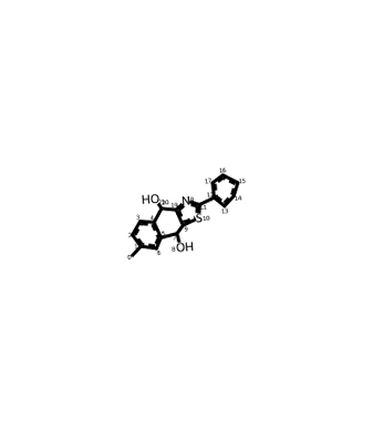 Cc1ccc2c(c1)C(O)c1sc(-c3ccccc3)nc1C2O